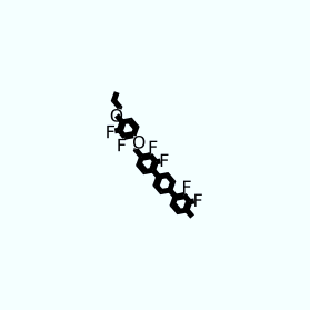 CCCOc1ccc(OCc2ccc(C3=CCC(c4ccc(C)c(F)c4F)CC3)c(F)c2F)c(F)c1F